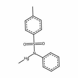 [CH3][Hg][N](c1ccccc1)S(=O)(=O)c1ccc(C)cc1